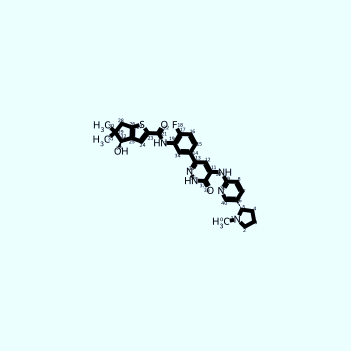 CN1CCC[C@H]1c1ccc(Nc2cc(-c3ccc(F)c(NC(=O)c4cc5c(s4)CC(C)(C)[C@@H]5O)c3)n[nH]c2=O)nc1